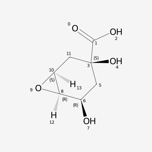 O=C(O)[C@]1(O)C[C@@H](O)[C@H]2O[C@H]2C1